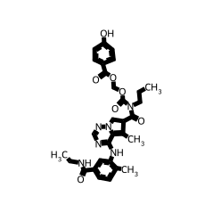 CCCN(C(=O)OCOC(=O)c1ccc(O)cc1)C(=O)C1CN2N=CN=C(Nc3cc(C(=O)NCC)ccc3C)C2=C1C